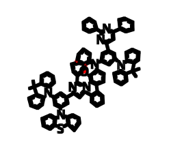 CC1(C)c2ccccc2N(c2cc(-c3cc(-c4ccccc4)nc(-c4ccccc4)n3)cc(N3c4ccccc4Oc4cc(-c5ccccc5-c5cc(-c6cc(N7c8ccccc8Sc8ccccc87)cc(N7c8ccccc8C(C)(C)c8ccccc87)c6)nc(-c6ccccc6)n5)ccc43)c2)c2ccccc21